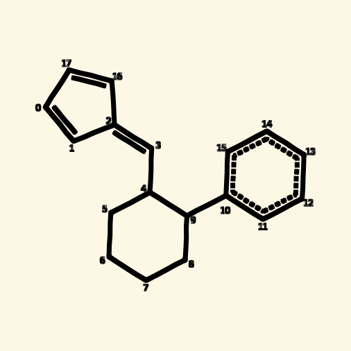 C1=CC(=CC2CCCCC2c2ccccc2)C=C1